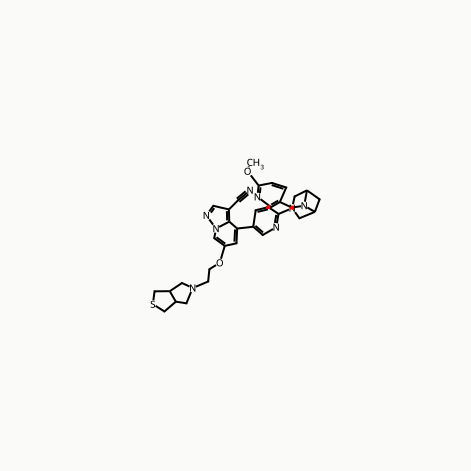 COc1ccc(CN2C3CC2CN(c2ccc(-c4cc(OCCN5CC6CSCC6C5)cn5ncc(C#N)c45)cn2)C3)cn1